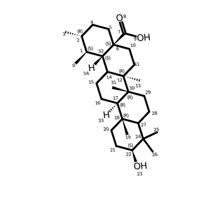 C[C@H]1[C@H](C)CC[C@]2(C(=O)O)CC[C@]3(C)C(CC[C@@H]4[C@@]5(C)CC[C@H](O)C(C)(C)C5CC[C@]43C)[C@H]12